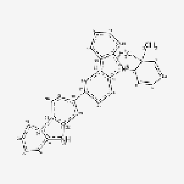 CC1(C)C=CC=CC1n1c2ccccc2c2cc(-c3ccc4c(c3)[nH]c3ccccc34)ccc21